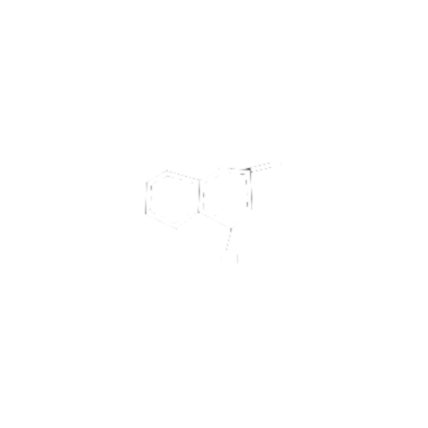 Cc1cc(=O)oc2[c]cccc12